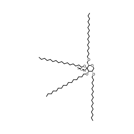 CCCCCCCCCCCCCCCCOC[C@H]1OC[C@H](OCCCCCCCCCCCCCCCC)[C@@H](OCCCCCCCCCCCCCCCC)[C@@]1(N=C=S)OCCCCCCCCCCCCCCCC